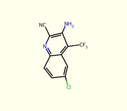 N#Cc1nc2ccc(Cl)cc2c(C(F)(F)F)c1N